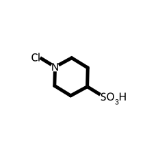 O=S(=O)(O)C1CCN(Cl)CC1